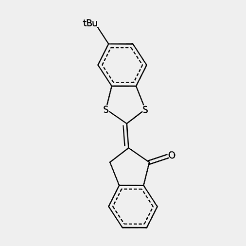 CC(C)(C)c1ccc2c(c1)SC(=C1Cc3ccccc3C1=O)S2